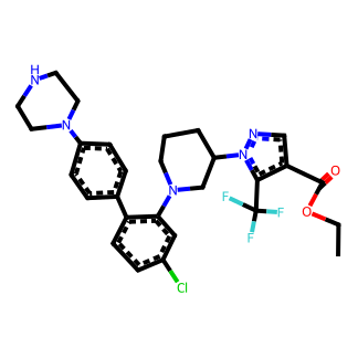 CCOC(=O)c1cnn(C2CCCN(c3cc(Cl)ccc3-c3ccc(N4CCNCC4)cc3)C2)c1C(F)(F)F